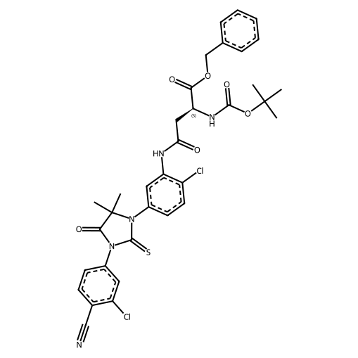 CC(C)(C)OC(=O)N[C@@H](CC(=O)Nc1cc(N2C(=S)N(c3ccc(C#N)c(Cl)c3)C(=O)C2(C)C)ccc1Cl)C(=O)OCc1ccccc1